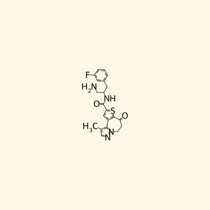 Cc1cnn2c1-c1cc(C(=O)NC(CN)Cc3cccc(F)c3)sc1C(=O)CC2